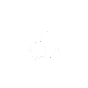 FC(F)(F)Oc1ccccc1.O=CCl